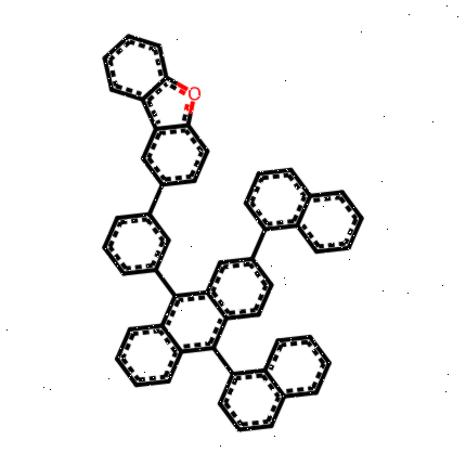 c1cc(-c2ccc3oc4ccccc4c3c2)cc(-c2c3ccccc3c(-c3cccc4ccccc34)c3ccc(-c4cccc5ccccc45)cc23)c1